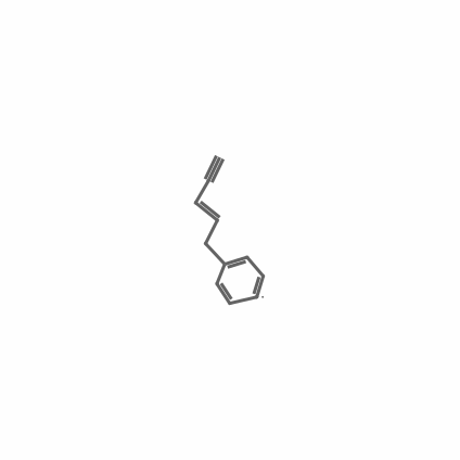 C#CC=CCc1cc[c]cc1